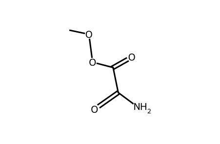 COOC(=O)C(N)=O